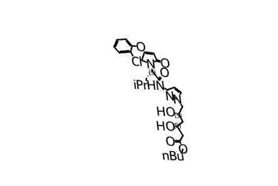 CCCCOC(=O)C[C@H](O)C[C@H](O)Cn1ccc(NC(=O)[C@H](CC(C)C)N2CC(Oc3ccccc3Cl)=CC2=O)n1